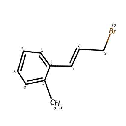 Cc1ccccc1C=CCBr